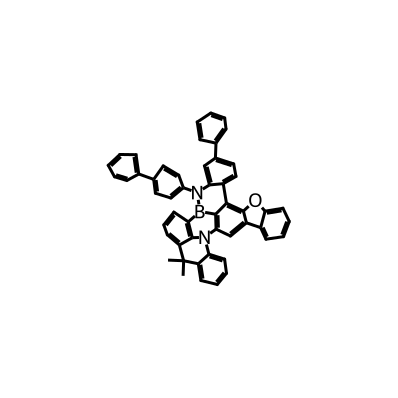 CC1(C)c2ccccc2N2c3cc4c(oc5ccccc54)c4c3B(c3cccc1c32)N(c1ccc(-c2ccccc2)cc1)c1cc(-c2ccccc2)ccc1-4